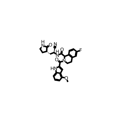 COc1cccc2[nH]c(C(=O)N3CCc4cc(F)ccc4C3C(=O)N[C@H](C#N)C[C@@H]3CCNC3=O)cc12